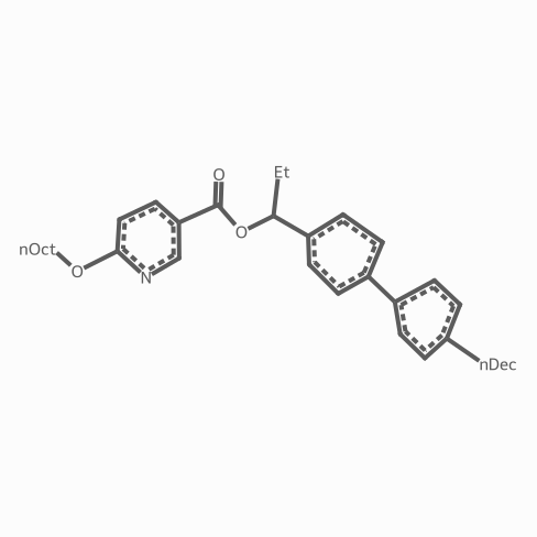 CCCCCCCCCCc1ccc(-c2ccc(C(CC)OC(=O)c3ccc(OCCCCCCCC)nc3)cc2)cc1